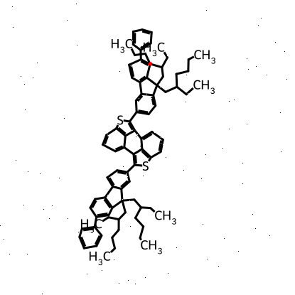 CCCCC(CC)CC1(CC(CC)CCCC)c2ccc(-c3sc4cccc5c6c(-c7ccc8c(c7)C(CC(CC)CCCC)(CC(CC)CCCC)c7cc(-c9ccccc9)ccc7-8)sc7cccc(c3c45)c76)cc2-c2ccc(-c3ccccc3)cc21